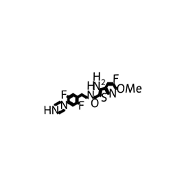 COc1nc2sc(C(=O)NCCc3cc(F)c(N4CCNCC4)cc3F)c(N)c2cc1F